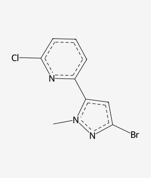 Cn1nc(Br)cc1-c1cccc(Cl)n1